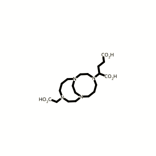 O=C(O)CCC(C(=O)O)N1CCCN2CCN(CCCN(CC(=O)O)CC2)CC1